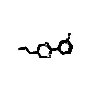 CCCC1COC(c2cccc(F)c2)OC1